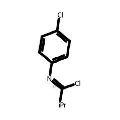 CC(C)/C(Cl)=N/c1ccc(Cl)cc1